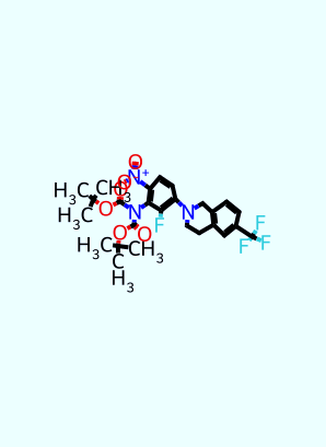 CC(C)(C)OC(=O)N(C(=O)OC(C)(C)C)c1c([N+](=O)[O-])ccc(N2CCc3cc(C(F)(F)F)ccc3C2)c1F